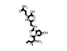 CC[C@H](C)[C@H](N)C(=O)N1C[C@H](O)C[C@H]1C(=O)NCC(=O)N[C@@H](CCC(N)=O)C(=O)O